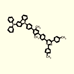 Cc1ccc(-c2cc(-c3ccc(-c4cc(C)c(-c5ccc(-n6c7ccccc7c7cc(N(c8ccccc8)c8ccccc8)ccc76)cc5)cc4C)cc3)nc(-c3ccc(C)cc3)n2)cc1